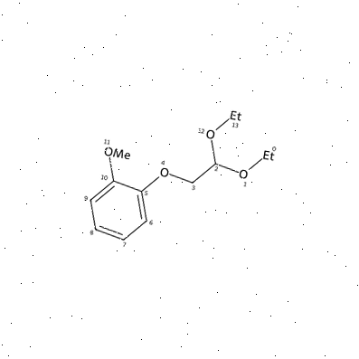 CCOC(COc1ccccc1OC)OCC